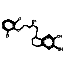 CCCN(CCOc1c(Cl)cccc1Cl)CC1CCCc2cc(O)c(O)cc21